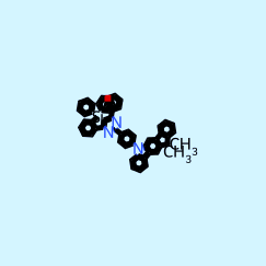 CC1(C)c2ccccc2-c2cc3c(cc21)c1ccccc1n3-c1ccc(-c2nc(-c3ccccc3)c3c(n2)-c2ccccc2[Si]3(c2ccccc2)c2ccccc2)cc1